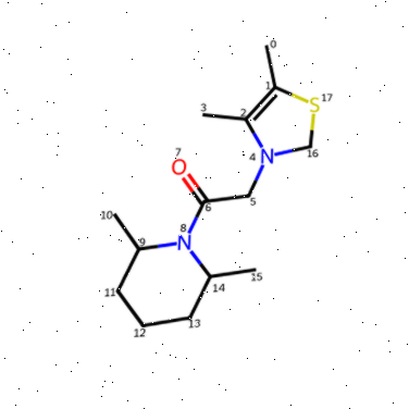 CC1=C(C)N(CC(=O)N2C(C)CCCC2C)CS1